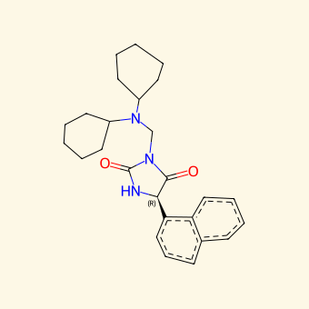 O=C1N[C@H](c2cccc3ccccc23)C(=O)N1CN(C1CCCCC1)C1CCCCC1